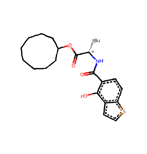 CC(C)(C)[C@H](NC(=O)c1ccc2sccc2c1O)C(=O)OC1CCCCCCCC1